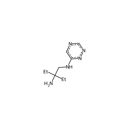 CCC(N)(CC)CNc1cncnn1